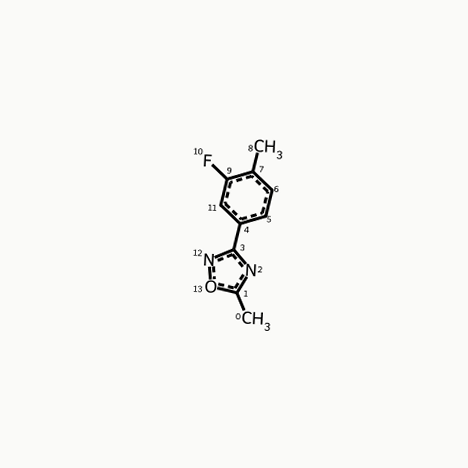 Cc1nc(-c2ccc(C)c(F)c2)no1